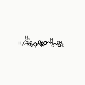 CCC(CC)OC(=O)Oc1ccc(C(=O)NS(=O)(=O)c2ccc(CCNC(=O)CCC(C)C)cc2)cn1